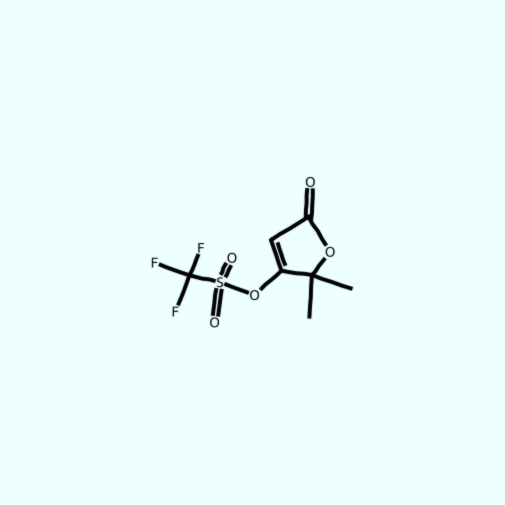 CC1(C)OC(=O)C=C1OS(=O)(=O)C(F)(F)F